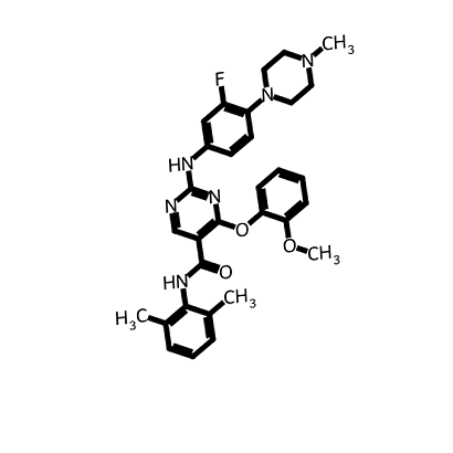 COc1ccccc1Oc1nc(Nc2ccc(N3CCN(C)CC3)c(F)c2)ncc1C(=O)Nc1c(C)cccc1C